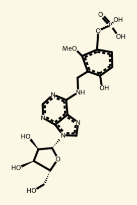 COc1c(OP(=O)(O)O)ccc(O)c1CNc1ncnc2c1ncn2[C@@H]1O[C@H](CO)[C@@H](O)[C@H]1O